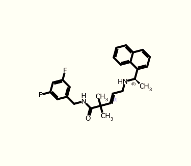 C[C@@H](NC/C=C/C(C)(C)C(=O)NCc1cc(F)cc(F)c1)c1cccc2ccccc12